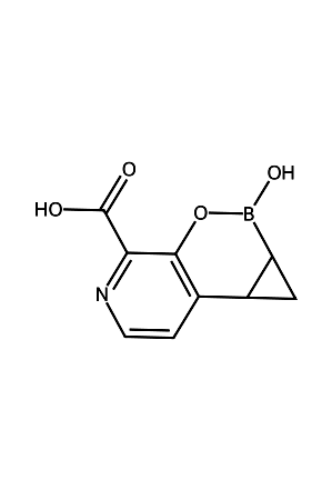 O=C(O)c1nccc2c1OB(O)C1CC21